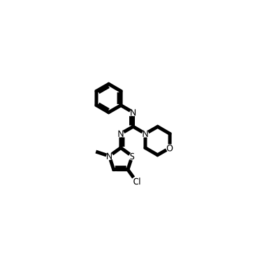 Cn1cc(Cl)sc1=NC(=Nc1ccccc1)N1CCOCC1